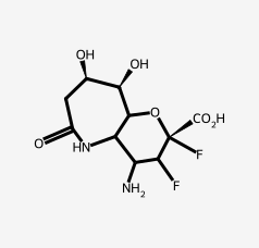 NC1C2NC(=O)C[C@@H](O)[C@@H](O)C2O[C@@](F)(C(=O)O)C1F